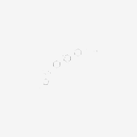 CCCCCCCOc1ccc(-c2cnc(-c3ccc(C(NC(=O)c4ccc(C(C)(C)C)s4)C(=O)O)cc3)nc2)cc1